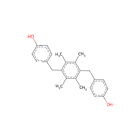 Cc1c(C)c(Cc2ccc(O)cc2)c(C)c(C)c1Cc1ccc(O)cc1